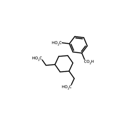 O=C(O)CC1CCCC(CC(=O)O)C1.O=C(O)c1cccc(C(=O)O)c1